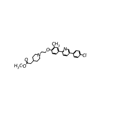 COC(=O)CC1CCN(CCOc2ccc(-c3ccc(-c4ccc(Cl)cc4)cn3)cc2C)CC1